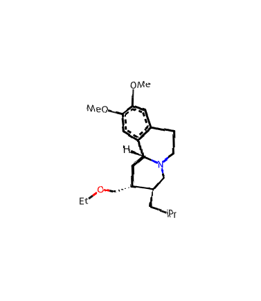 CCOC[C@@H]1C[C@@H]2c3cc(OC)c(OC)cc3CCN2C[C@H]1CC(C)C